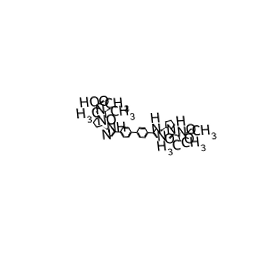 COC(=O)N[C@@H](C(=O)N1CCC[C@@H]1c1ncc(-c2ccc(-c3ccc(-c4cnc([C@@H]5CCCN5C(=O)[C@H](C(C)C)N(C)C(=O)O)[nH]4)cc3)cc2)[nH]1)C(C)C